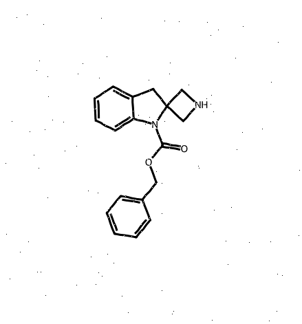 O=C(OCc1ccccc1)N1c2ccccc2CC12CNC2